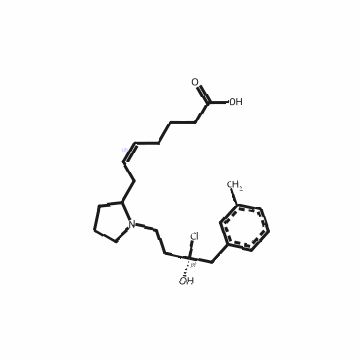 Cc1cccc(C[C@](O)(Cl)CCN2CCCC2C/C=C\CCCC(=O)O)c1